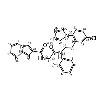 O=C(N[C@@H](Cc1ccccc1)C(=O)NCCc1cc(Cl)ccc1-n1cnnn1)c1cn2cccnc2n1